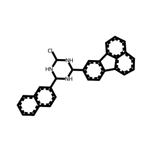 ClC1NC(c2ccc3c(c2)-c2cccc4cccc-3c24)NC(c2ccc3ccccc3c2)N1